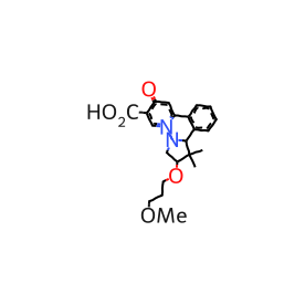 COCCCOC1CN2C(c3ccccc3-c3cc(=O)c(C(=O)O)cn32)C1(C)C